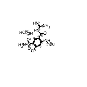 CCCCNc1cc(Cl)c(S(N)(=O)=O)cc1C(=O)NC(=N)N.Cl.Cl